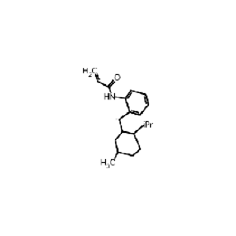 C=CC(=O)Nc1ccccc1[C]C1CC(C)CCC1C(C)C